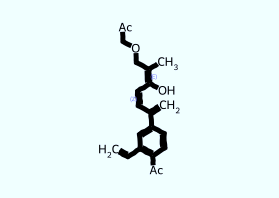 C=Cc1cc(C(=C)/C=C\C(O)=C(\C)COCC(C)=O)ccc1C(C)=O